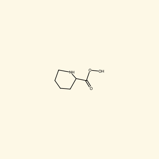 O=C(OO)C1CCCCN1